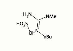 CCCC/N=C(/N)NC.O=S(=O)(O)O